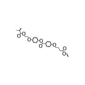 C=COC(=O)CCCOc1ccc(C(=O)Oc2ccc(OCCOC(=O)C(=C)C)cc2)cc1